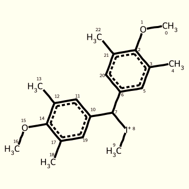 COc1c(C)cc(C([I+]C)c2cc(C)c(OC)c(C)c2)cc1C